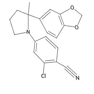 CC1(c2ccc3c(c2)OCO3)CCCN1c1ccc(C#N)c(Cl)c1